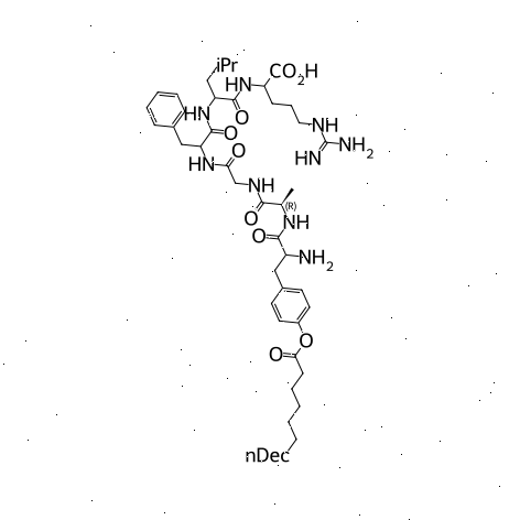 CCCCCCCCCCCCCCCC(=O)Oc1ccc(CC(N)C(=O)N[C@H](C)C(=O)NCC(=O)NC(Cc2ccccc2)C(=O)NC(CC(C)C)C(=O)NC(CCCNC(=N)N)C(=O)O)cc1